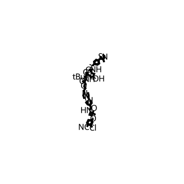 Cc1ncsc1-c1ccc([C@H](C)NC(=O)C2C[C@@H](O)CN2C(=O)[C@@H](NC(=O)COCCN2CCN(c3ccc(C(=O)N[C@H]4C[C@@H](Oc5ccc(C#N)c(Cl)c5)C4(C)C)cn3)CC2)C(C)(C)C)cc1